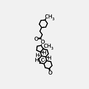 CC1CCC(CCC(=O)O[C@H]2CC[C@H]3[C@@H]4CCC5CC(=O)CC[C@]5(C)[C@H]4CC[C@]23C)CC1